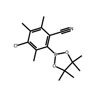 Cc1c(C)c(C#N)c(B2OC(C)(C)C(C)(C)O2)c(C)c1Cl